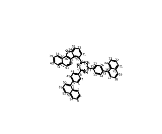 c1ccc2c(-c3ccc(-c4nc(-c5ccc(-c6cccc7ccccc67)cc5)nc(-c5cccc6sc7c8ccccc8ccc7c56)n4)cc3)cccc2c1